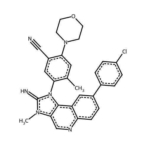 Cc1cc(N2CCOCC2)c(C#N)cc1-n1c(=N)n(C)c2cnc3ccc(-c4ccc(Cl)cc4)cc3c21